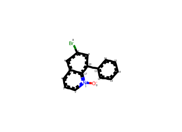 [O-][n+]1cccc2cc(Br)cc(-c3ccccc3)c21